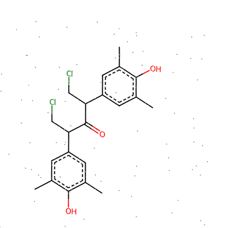 Cc1cc(C(CCl)C(=O)C(CCl)c2cc(C)c(O)c(C)c2)cc(C)c1O